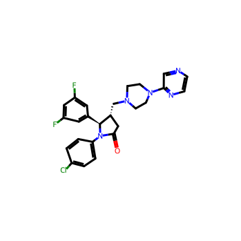 O=C1C[C@@H](CN2CCN(c3cnccn3)CC2)[C@H](c2cc(F)cc(F)c2)N1c1ccc(Cl)cc1